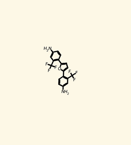 Nc1ccc(-c2ccc(-c3ccc(N)cc3C(F)(F)F)o2)c(C(F)(F)F)c1